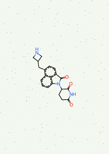 O=C1CCC(N2C(=O)c3ccc(CC4CNC4)c4cccc2c34)C(=O)N1